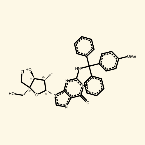 COc1ccc(C(Nc2nc3c(ncn3[C@@H]3O[C@@](CO)(CCl)[C@@H](O)[C@@H]3F)c(=O)[nH]2)(c2ccccc2)c2ccccc2)cc1